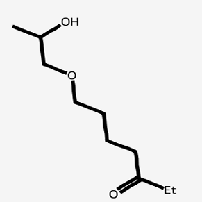 CCC(=O)CCCCOCC(C)O